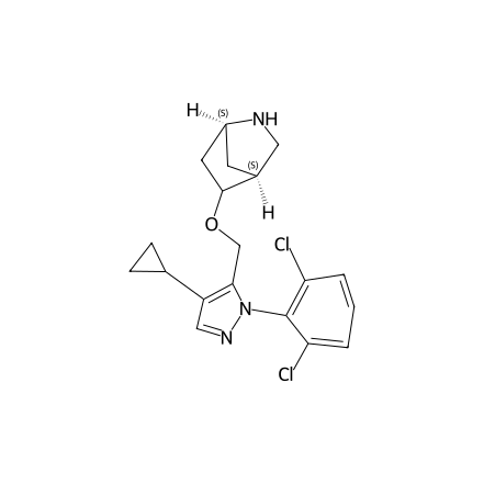 Clc1cccc(Cl)c1-n1ncc(C2CC2)c1COC1C[C@@H]2C[C@H]1CN2